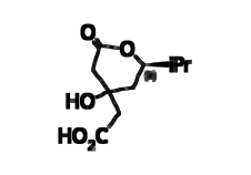 CC(C)[C@H]1CC(O)(CC(=O)O)CC(=O)O1